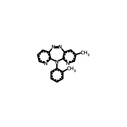 Cc1cnc2c(c1)N=Nc1cccnc1N2c1ccccc1C